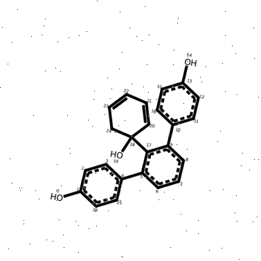 Oc1ccc(-c2cccc(-c3ccc(O)cc3)c2C2(O)C=CC=CC2)cc1